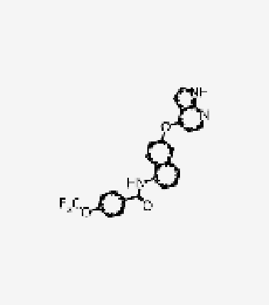 O=C(Nc1cccc2cc(Oc3ccnc4[nH]ccc34)ccc12)c1ccc(OC(F)(F)F)cc1